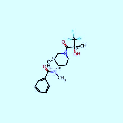 C[C@@H]1CN(C(=O)[C@@](C)(O)C(F)(F)F)CC[C@@H]1N(C)C(=O)c1ccccc1